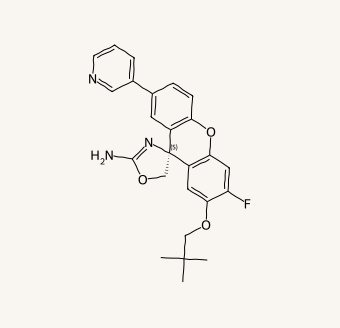 CC(C)(C)COc1cc2c(cc1F)Oc1ccc(-c3cccnc3)cc1[C@@]21COC(N)=N1